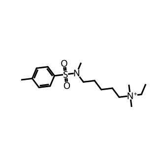 CC[N+](C)(C)CCCCCN(C)S(=O)(=O)c1ccc(C)cc1